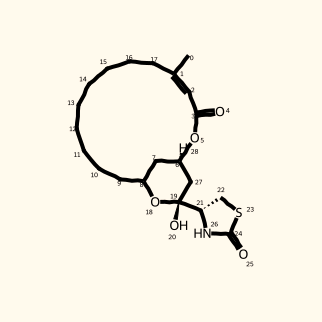 C/C1=C/C(=O)O[C@@H]2CC(CCCCCCCCC1)O[C@@](O)([C@@H]1CSC(=O)N1)C2